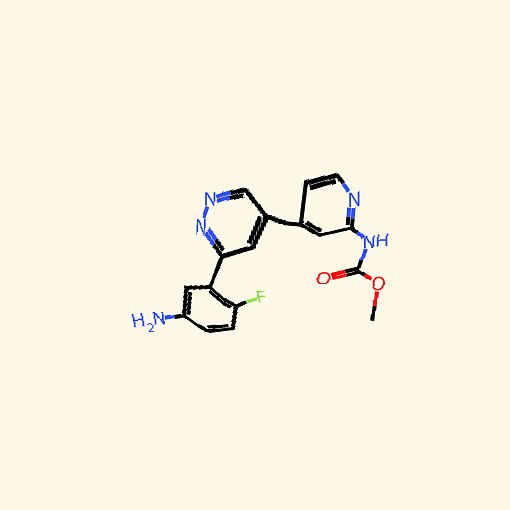 COC(=O)Nc1cc(-c2cnnc(-c3cc(N)ccc3F)c2)ccn1